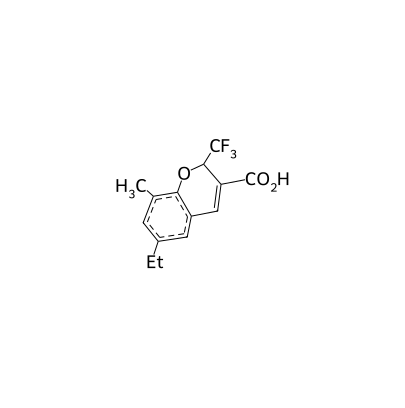 CCc1cc(C)c2c(c1)C=C(C(=O)O)C(C(F)(F)F)O2